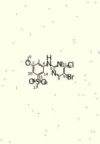 COc1cc(Nc2ncc(Br)c(Cl)n2)cc(S(C)(=O)=O)c1